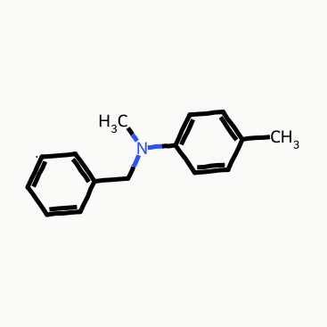 Cc1ccc(N(C)Cc2c[c]ccc2)cc1